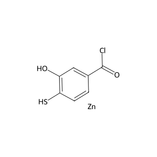 O=C(Cl)c1ccc(S)c(O)c1.[Zn]